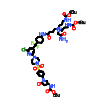 CC(C)(C)OC(=O)NCCC[N+](CCCNC(=O)OC(C)(C)C)(CCCC(=O)NC1CCC(C(F)(F)c2cc(Cl)nc(N3CCN(S(=O)(=O)c4ccc(N5C[C@H](NC(=O)OC(C)(C)C)CC5=O)cc4)CC3)c2)CC1)CC(N)=O